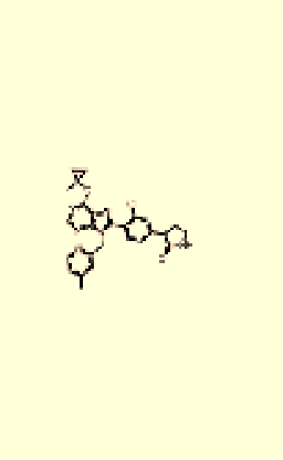 Cc1ccnc(Cn2c(-c3ccc(C4CCNC4=O)cc3Cl)nc3c(OC4(C)CC4)ncnc32)c1